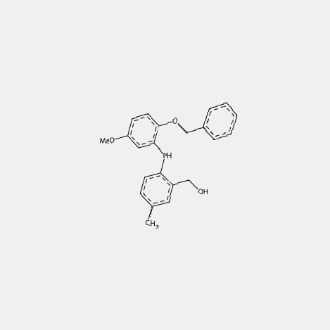 COc1ccc(OCc2ccccc2)c(Pc2ccc(C)cc2CO)c1